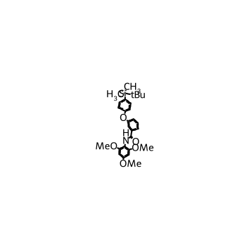 COc1cc(OC)c(NC(=O)c2cccc(Oc3ccc([Si](C)(C)C(C)(C)C)cc3)c2)c(OC)c1